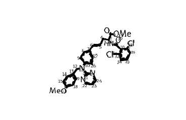 COC(=O)C(CC=Cc1ccc(N(Cc2ccc(OC)cc2)c2ncccn2)cc1)NC(=O)c1c(Cl)cccc1Cl